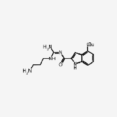 CC(C)(C)c1cccc2[nH]c(C(=O)N=C(N)NCCCN)cc12